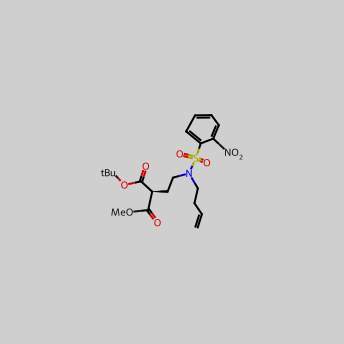 C=CCCN(CC[C@@H](C(=O)OC)C(=O)OC(C)(C)C)S(=O)(=O)c1ccccc1[N+](=O)[O-]